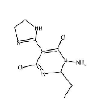 CCC1N=C(Cl)C(C2=NCCN2)=C(Cl)N1N